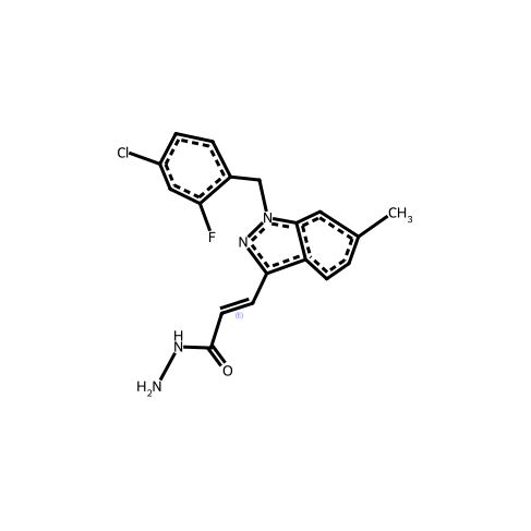 Cc1ccc2c(/C=C/C(=O)NN)nn(Cc3ccc(Cl)cc3F)c2c1